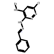 CCNc1cc(Cl)nnc1N/N=C/c1ccccc1